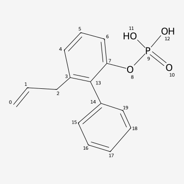 C=CCc1cccc(OP(=O)(O)O)c1-c1ccccc1